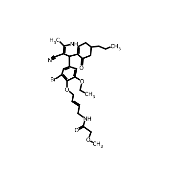 CCCC1CC(=O)C2=C(C1)NC(C)=C(C#N)C2c1cc(Br)c(OC/C=C/CNC(=O)COC)c(OCC)c1